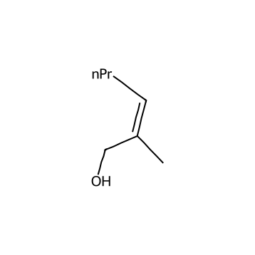 CCCC=C(C)CO